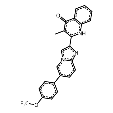 Cc1c(-c2cn3cc(-c4ccc(OC(F)(F)F)cc4)ccc3n2)[nH]c2ccccc2c1=O